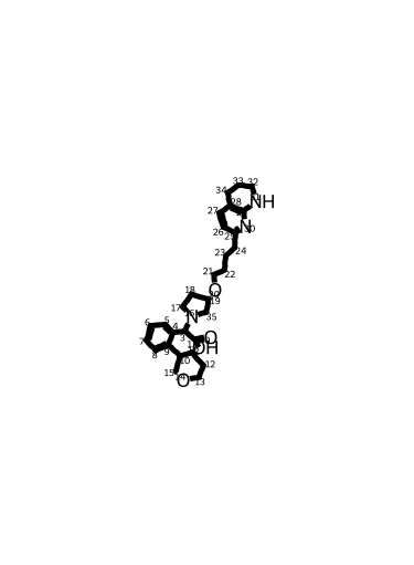 O=C(O)C(c1ccccc1C1CCCOC1)N1CCC(OCCCCc2ccc3c(n2)NCCC3)C1